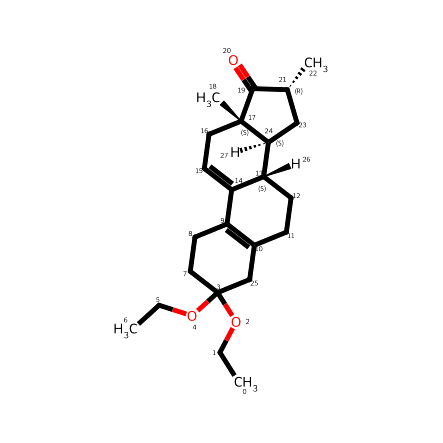 CCOC1(OCC)CCC2=C(CC[C@@H]3C2=CC[C@]2(C)C(=O)[C@H](C)C[C@@H]32)C1